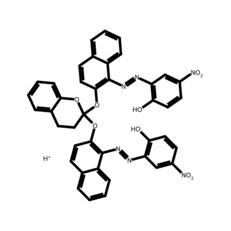 O=[N+]([O-])c1ccc(O)c(N=Nc2c(OC3(Oc4ccc5ccccc5c4N=Nc4cc([N+](=O)[O-])ccc4O)CCc4ccccc4O3)ccc3ccccc23)c1.[H+]